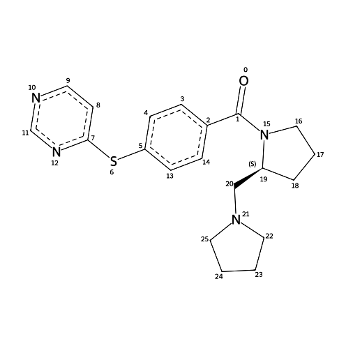 O=C(c1ccc(Sc2ccncn2)cc1)N1CCC[C@H]1CN1CCCC1